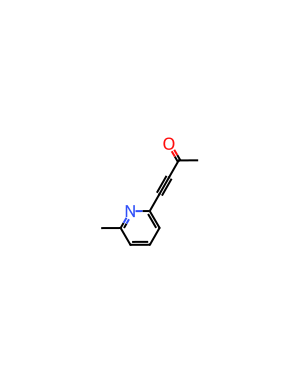 CC(=O)C#Cc1cccc(C)n1